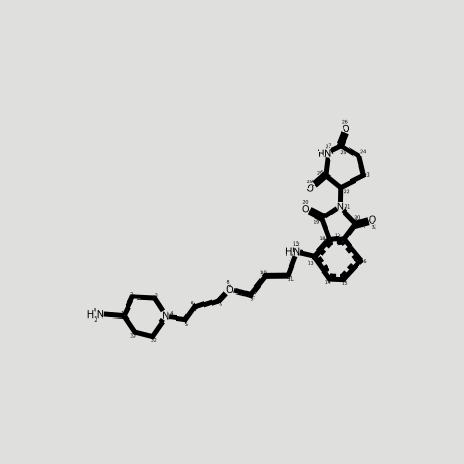 NC1CCN(CCCOCCCNc2cccc3c2C(=O)N(C2CCC(=O)NC2=O)C3=O)CC1